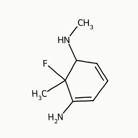 CNC1C=CC=C(N)C1(C)F